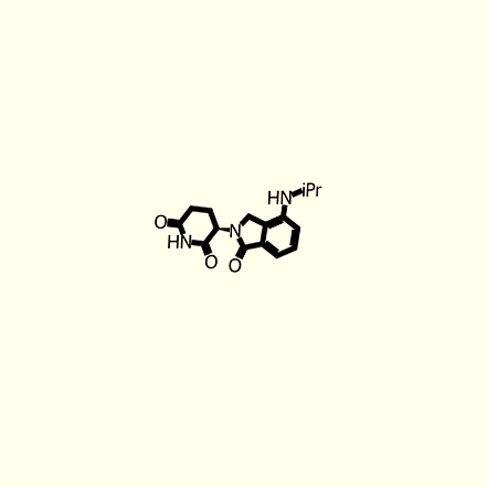 CC(C)Nc1cccc2c1CN([C@@H]1CCC(=O)NC1=O)C2=O